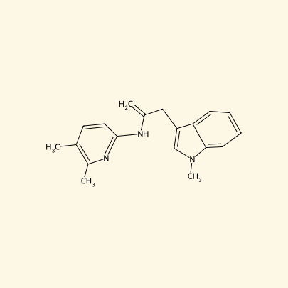 C=C(Cc1cn(C)c2ccccc12)Nc1ccc(C)c(C)n1